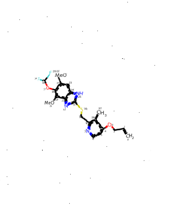 C=CCOc1ccnc(CSc2nc3c(OC)c(OC(F)F)c(OC)cc3[nH]2)c1C